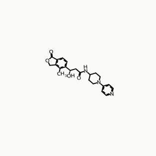 Cc1c([C@H](O)CC(=O)NC2CCN(c3ccncc3)CC2)ccc2c1COC2=O